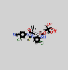 CC1(C)C(=O)N(c2ccc(C#N)c(Cl)c2)C(=S)N1c1ccc(Cl)c(NC(=O)OCC(CO)(CO)CO)c1